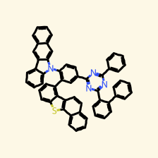 c1ccc(-c2nc(-c3ccc(-n4c5ccccc5c5cc6ccccc6cc54)c(-c4cccc5sc6c7ccccc7ccc6c45)c3)nc(-c3ccccc3-c3ccccc3)n2)cc1